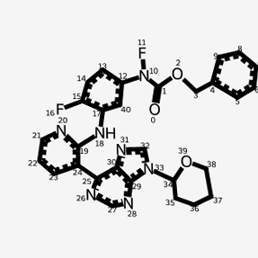 O=C(OCc1ccccc1)N(F)c1ccc(F)c(Nc2ncccc2-c2ncnc3c2ncn3C2CCCCO2)c1